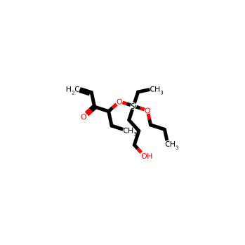 C=CC(=O)C(CC)O[Si](CC)(CCCO)OCCC